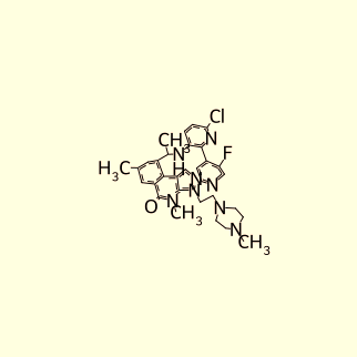 Cc1cc(C(C)Nc2ccc(Cl)nc2-c2ccncc2F)c2c(c1)c(=O)n(C)c1c2cnn1CCN1CCN(C)CC1